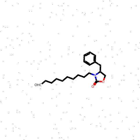 O=CCCCCCCCCCN1C(=O)OCC1Cc1ccccc1